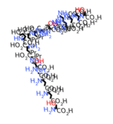 CC(C)C[C@H](N)C(=O)O.CC(C)C[C@H](N)C(=O)O.CC(C)C[C@H](N)C(=O)O.CC(C)[C@H](N)C(=O)O.CC(C)[C@H](N)C(=O)O.C[C@@H](O)[C@H](N)C(=O)O.C[C@@H](O)[C@H](N)C(=O)O.NCC(=O)O.NCC(=O)O.NCC(=O)O.NCCCC[C@H](N)C(=O)O.N[C@@H](CCC(=O)O)C(=O)O.N[C@@H](CCC(=O)O)C(=O)O.N[C@@H](CCC(=O)O)C(=O)O.N[C@@H](CCC(=O)O)C(=O)O.N[C@@H](CO)C(=O)O.N[C@@H](CO)C(=O)O.O=C(O)[C@@H]1CCCN1